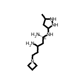 CC1CC(N[C@@H](N)CC(N)CCN2CCC2)NN1